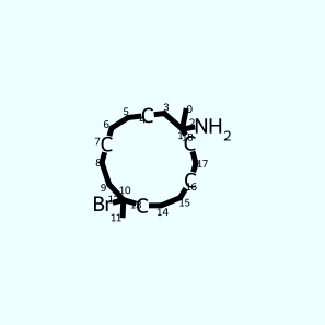 CC1(N)CCCCCCCC(C)(Br)CCCCCC1